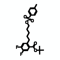 Cc1ccc(S(=O)(=O)OCCCCCc2cc(F)c(F)cc2C(=O)OC(C)(C)C)cc1